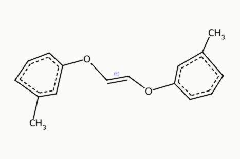 Cc1cccc(O/C=C/Oc2cccc(C)c2)c1